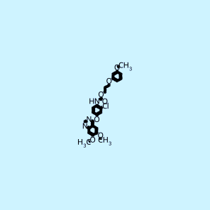 COc1cccc(OCCCOC(=O)Nc2ccc(Oc3ncnc4cc(OC)c(OC)cc34)cc2Cl)c1